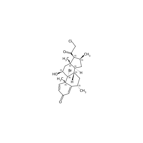 C[C@H]1C[C@H]2[C@@H]3C[C@H](C)[C@H](C(=O)CCl)[C@@]3(C)C[C@H](O)[C@]2(Br)[C@@]2(C)C=CC(=O)C=C12